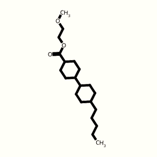 CCCCCC1CCC(C2CCC(C(=O)OCCOC)CC2)CC1